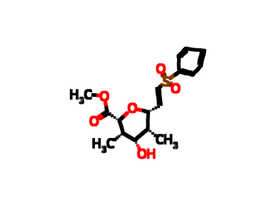 COC(=O)[C@@H]1O[C@H](/C=C/S(=O)(=O)c2ccccc2)[C@H](C)[C@H](O)[C@@H]1C